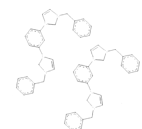 C1=CN(c2cccc(N3C=CN(Cc4ccccc4)C3)c2)CN1Cc1ccccc1.C1=CN(c2cccc(N3C=CN(Cc4ccccc4)C3)c2)CN1Cc1ccccc1.Cl.Cl